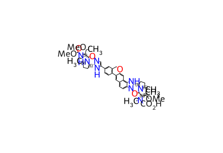 COC(=O)N[C@H](C(=O)N1[C@@H](C)CC[C@H]1c1ncc(-c2ccc3c(c2)COc2cc4c(ccc5nc([C@@H]6CC[C@H](C)N6C(=O)[C@H]([C@@H](C)OC)N(C)C(=O)O)[nH]c54)cc2-3)[nH]1)C(C)OC